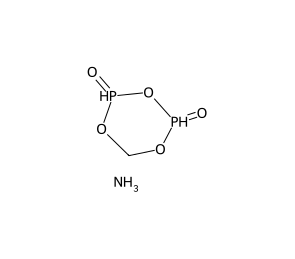 N.O=[PH]1OCO[PH](=O)O1